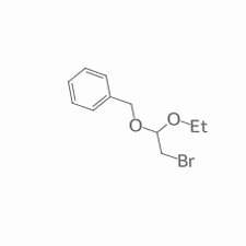 CCOC(CBr)OCc1ccccc1